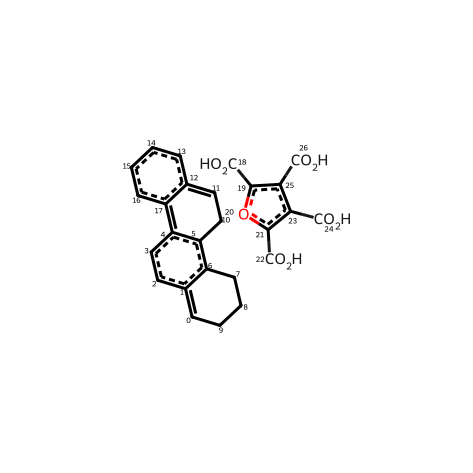 C1=c2ccc3c(c2CCC1)CC=c1ccccc1=3.O=C(O)c1oc(C(=O)O)c(C(=O)O)c1C(=O)O